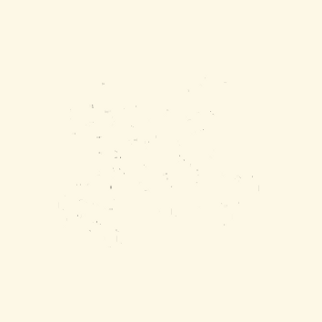 Cc1cc2c3c(c1)N(c1cc4c(cc1C)C(C)(C)CC4(C)C)c1cc(-c4ccccc4)ccc1B3c1cc3c(cc1N2c1ccc2c(c1)C(C)(C)CC2(C)C)C(C)(C)CC3(C)C